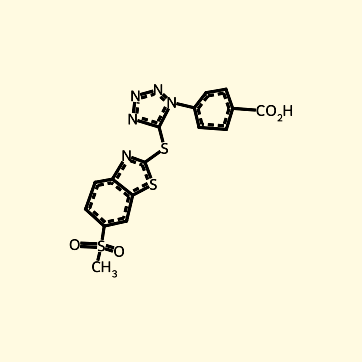 CS(=O)(=O)c1ccc2nc(Sc3nnnn3-c3ccc(C(=O)O)cc3)sc2c1